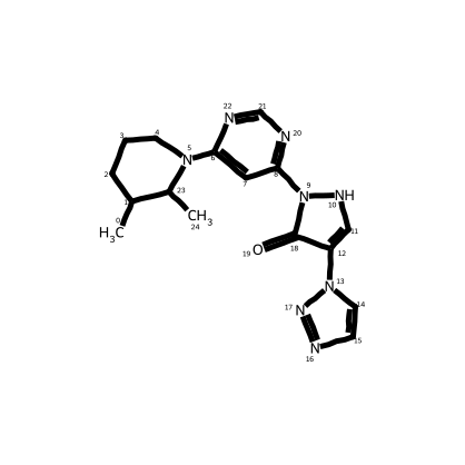 CC1CCCN(c2cc(-n3[nH]cc(-n4ccnn4)c3=O)ncn2)C1C